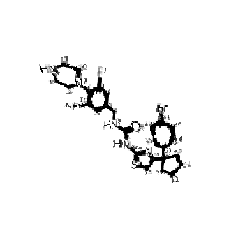 O=C(NCc1cc(F)c(N2CCNCC2)c(F)c1)Nc1nc(C2(c3ccc(Br)cc3)CCCC2)cs1